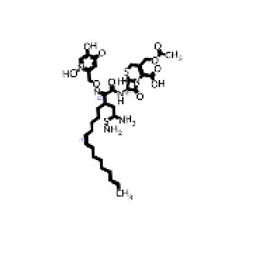 CCCCCCCC/C=C\CCCCC(CC(N)SN)/C(=N/OCc1cc(=O)c(O)cn1O)C(=O)N[C@@H]1C(=O)N2C(C(=O)O)=C(COC(C)=O)CS[C@H]12